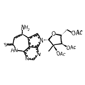 CC(=O)OC[C@H]1O[C@@H](n2cc3c4c(ncnc42)NC(=S)C=C3N)[C@](C)(OC(C)=O)[C@@H]1OC(C)=O